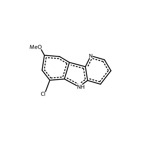 COc1cc(Cl)c2[nH]c3cccnc3c2c1